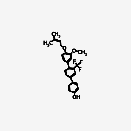 COc1cc(-c2ccc(-c3ccc(O)cc3)cc2C(F)(F)F)ccc1OCC=C(C)C